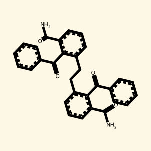 NC(=O)c1cccc(CCc2cccc(C(N)=O)c2C(=O)c2ccccc2)c1C(=O)c1ccccc1